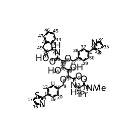 CNC(=O)[C@@H](NC(=O)[C@H](OCc1ccc(-c2nccs2)cc1)[C@H](O)[C@@H](O)[C@@H](OCc1ccc(-c2nccs2)cc1)C(=O)N[C@H]1c2ccccc2C[C@H]1O)C(C)C